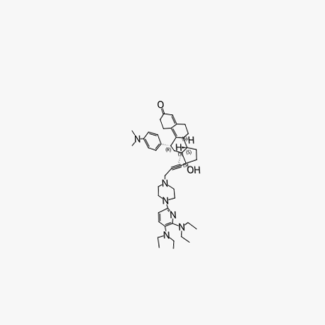 CCN(CC)c1ccc(N2CCN(CC#C[C@]3(O)CC[C@H]4[C@@H]5CCC6=CC(=O)CCC6=C5[C@@H](c5ccc(N(C)C)cc5)C[C@@]43C)CC2)nc1N(CC)CC